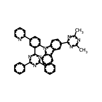 Cc1nc(C)nc(-c2ccc3c(c2)c2ccccc2n3-c2ccc(-c3ccccn3)cc2-c2nc(-c3ccccc3)nc(-c3ccccc3)n2)n1